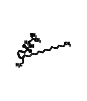 CC(C)N.CCCCCCCCCCCCc1c(CC)cccc1S(=O)(=O)O